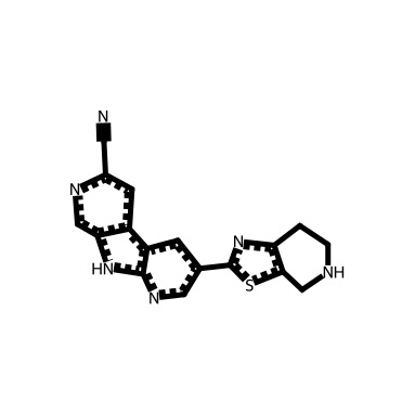 N#Cc1cc2c(cn1)[nH]c1ncc(-c3nc4c(s3)CNCC4)cc12